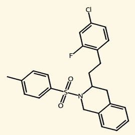 Cc1ccc(S(=O)(=O)N2Cc3ccccc3CC2CCc2ccc(Cl)cc2F)cc1